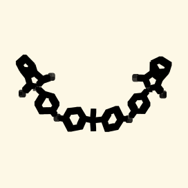 CC(C)(c1ccc(Oc2ccc(N3C(=O)C4C5C=CC(C5)C4C3=O)cc2)cc1)c1ccc(Oc2ccc(N3C(=O)C4C5C=CC(C5)C4C3=O)cc2)cc1